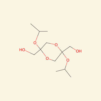 CC(C)OC1(CO)COC(CO)(OC(C)C)CO1